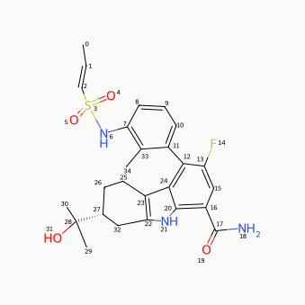 CC=CS(=O)(=O)Nc1cccc(-c2c(F)cc(C(N)=O)c3[nH]c4c(c23)CC[C@@H](C(C)(C)O)C4)c1C